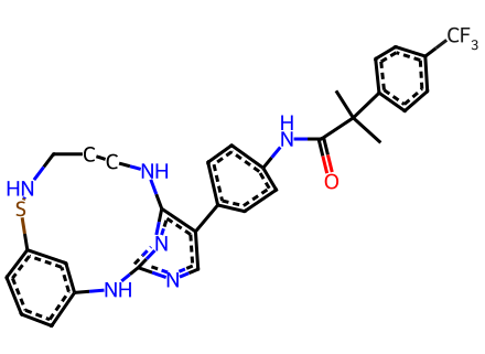 CC(C)(C(=O)Nc1ccc(-c2cnc3nc2NCCCNSc2cccc(c2)N3)cc1)c1ccc(C(F)(F)F)cc1